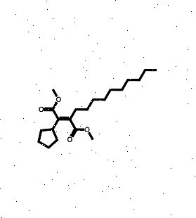 CCCCCCCCCCC(C(=O)OC)=C(C(=O)OC)C1CCCC1